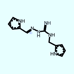 N=C(NCc1ccc[nH]1)N/N=C/c1ccc[nH]1